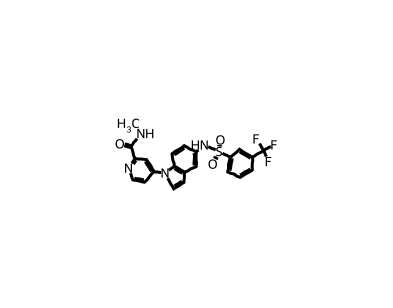 CNC(=O)c1cc(-n2ccc3cc(NS(=O)(=O)c4cccc(C(F)(F)F)c4)ccc32)ccn1